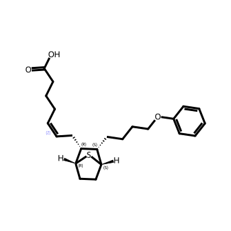 O=C(O)CCC/C=C\C[C@@H]1[C@H](CCCCOc2ccccc2)[C@@H]2CC[C@H]1S2